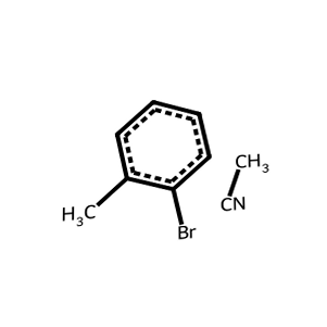 CC#N.Cc1ccccc1Br